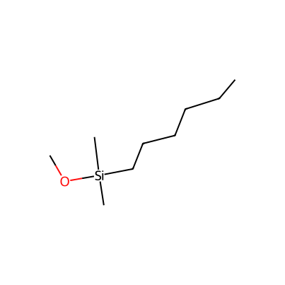 CCCCCC[Si](C)(C)OC